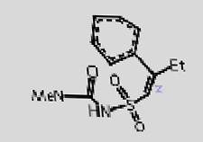 CC/C(=C/S(=O)(=O)NC(=O)NC)c1ccccc1